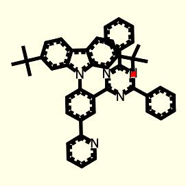 CC(C)(C)c1ccc2c3ccc(C(C)(C)C)cc3n(-c3ccc(-c4ccccn4)cc3-c3nc(-c4ccccc4)nc(-c4ccccc4)n3)c2c1